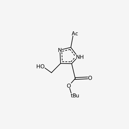 CC(=O)c1nc(CO)c(C(=O)OC(C)(C)C)[nH]1